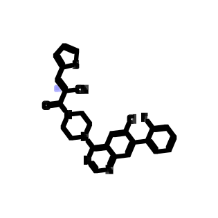 N#C/C(=C\c1cccs1)C(=O)N1CCN(c2ncnc3cc(-c4ccccc4F)c(Cl)cc23)CC1